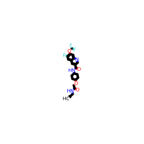 C#CCNC(=O)COC1CCC(NC(=O)c2cnc3cc(OC(F)F)c(F)cc3c2)CC1